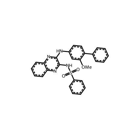 COc1cc(Nc2nc3ccccc3nc2NS(=O)(=O)c2ccccc2)ccc1-c1ccccc1